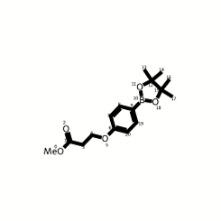 COC(=O)CCOc1ccc(B2OC(C)(C)C(C)(C)O2)cc1